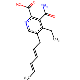 CC=CC=CCc1cnc(C(=O)O)c(C(N)=O)c1CC